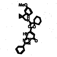 COc1cccc(C2(CNC(=O)C3(OCc4cc(=O)n5nc(-c6ccccc6)nc5[nH]4)CCCCC3)CC2)c1